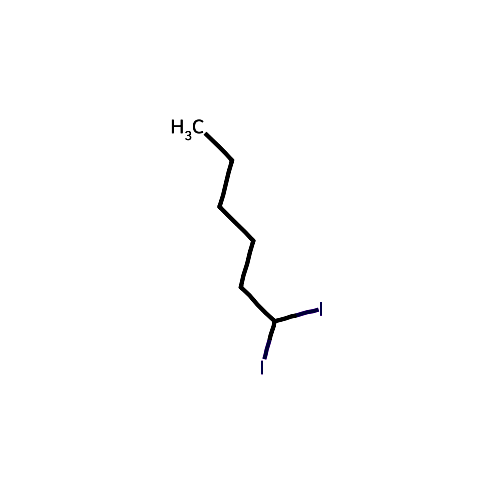 CCCCCC(I)I